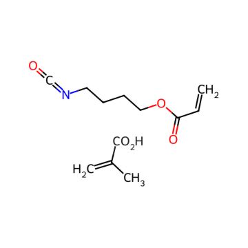 C=C(C)C(=O)O.C=CC(=O)OCCCCN=C=O